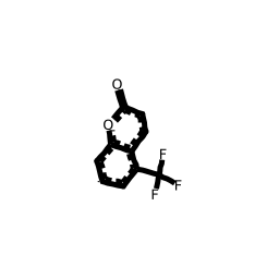 O=c1ccc2c(C(F)(F)F)c[c]cc2o1